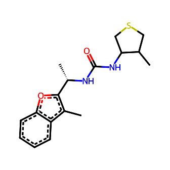 Cc1c([C@H](C)NC(=O)NC2CSCC2C)oc2ccccc12